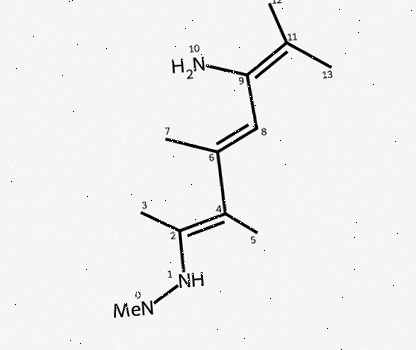 CNN/C(C)=C(C)/C(C)=C/C(N)=C(C)C